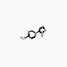 NC1=NCN(c2ccn[nH]2)C=C1